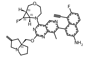 C#Cc1c(F)ccc2cc(N)cc(-c3ncc4c(N5CCOC[C@H]6[C@H](F)[C@H]65)nc(OC[C@@]56CCCN5CC(=C)C6)nc4c3C)c12